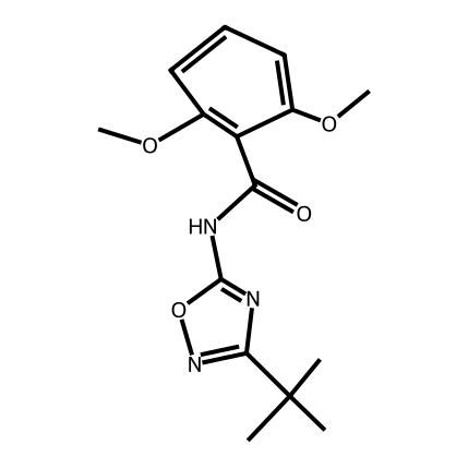 COc1cccc(OC)c1C(=O)Nc1nc(C(C)(C)C)no1